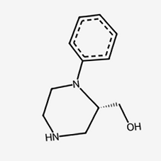 OC[C@@H]1CNCCN1c1ccccc1